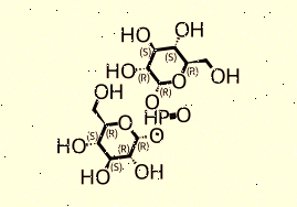 O=[PH](O[C@H]1O[C@H](CO)[C@@H](O)[C@H](O)[C@H]1O)O[C@H]1O[C@H](CO)[C@@H](O)[C@H](O)[C@H]1O